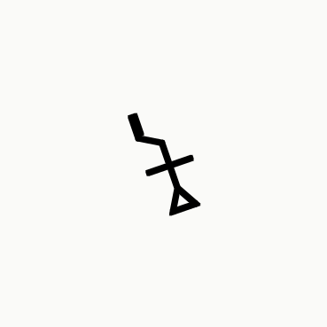 C=CCC(C)(C)C1CC1